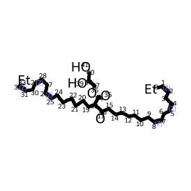 CC/C=C\C/C=C\C/C=C\CCCCCCCC(=O)C(CCCCCC/C=C\C/C=C\C/C=C\CC)C(=O)OCC(O)CO